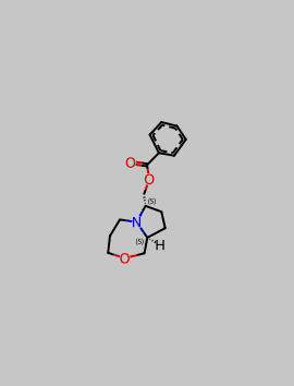 O=C(OC[C@@H]1CC[C@H]2COCCCN21)c1ccccc1